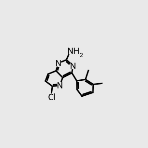 Cc1cccc(-c2nc(N)nc3ccc(Cl)nc23)c1C